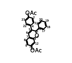 CC(=O)Oc1ccc(C2=Cc3ccc(OC(C)=O)cc3OC2c2ccccc2)cc1